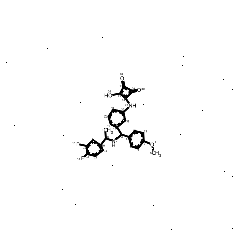 COc1ccc(C(NC(C)c2ccc(F)c(F)c2)c2cccc(Nc3c(O)c(=O)c3=O)c2)cc1